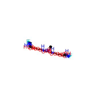 O=C(CCOCC(COCCC(=O)NCCOCCOCCOCCOC[C@H]1OC[C@H](Nc2nccc(C(F)(F)F)n2)[C@@H](O)[C@H]1O)NC(=O)OCc1ccccc1)NCCOCCOCCOCCOC[C@H]1OC[C@H](Nc2nccc(C(F)(F)F)n2)[C@@H](O)[C@H]1O